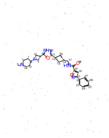 CN1CCC(N2CC(c3nnc(C4CC(CNC(=O)c5cc(-c6ccccc6)no5)C4)o3)C2)CC1